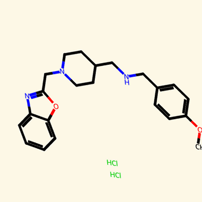 COc1ccc(CNCC2CCN(Cc3nc4ccccc4o3)CC2)cc1.Cl.Cl